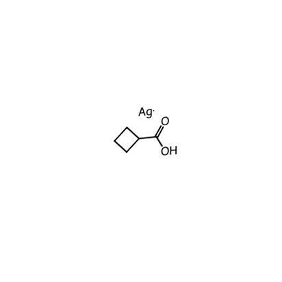 O=C(O)C1CCC1.[Ag]